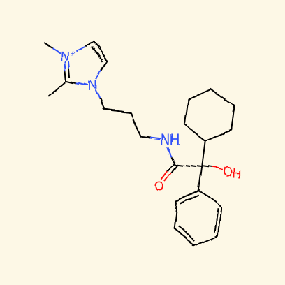 Cc1n(CCCNC(=O)C(O)(c2ccccc2)C2CCCCC2)cc[n+]1C